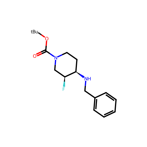 CC(C)(C)OC(=O)N1CC[C@@H](NCc2ccccc2)[C@@H](F)C1